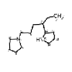 [CH2]CC(CCCN1CCCC1)C1CCCN1